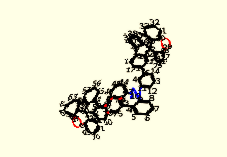 c1ccc(-c2ccccc2N(c2cccc(-c3ccc4c(c3)C3(c5ccccc5Oc5ccccc53)c3ccccc3-4)c2)c2cccc(-c3cccc4c3-c3ccccc3C43c4ccccc4Oc4ccccc43)c2)cc1